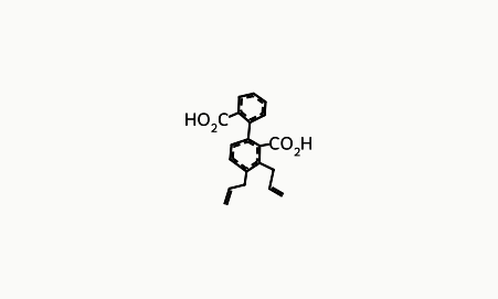 C=CCc1ccc(-c2ccccc2C(=O)O)c(C(=O)O)c1CC=C